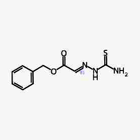 NC(=S)N/N=C/C(=O)OCc1ccccc1